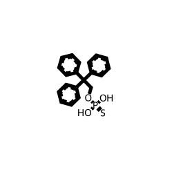 OP(O)(=S)OCC(c1ccccc1)(c1ccccc1)c1ccccc1